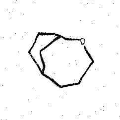 C1COC2CCC(C1)C2